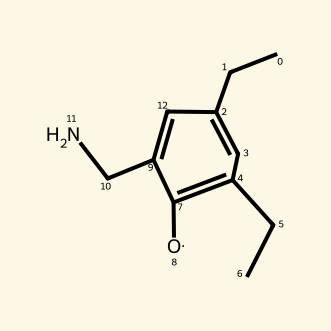 CCc1cc(CC)c([O])c(CN)c1